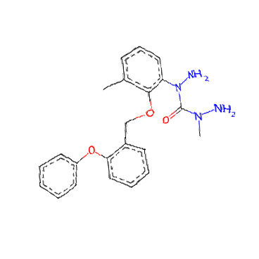 Cc1cccc(N(N)C(=O)N(C)N)c1OCc1ccccc1Oc1ccccc1